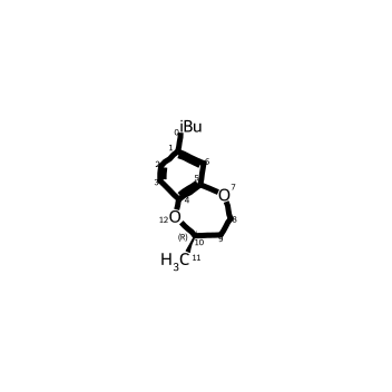 CCC(C)c1ccc2c(c1)OCC[C@@H](C)O2